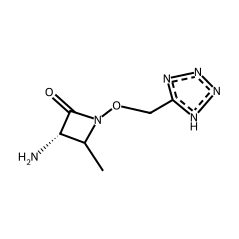 CC1[C@H](N)C(=O)N1OCc1nnn[nH]1